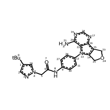 CC(C)(C)c1cnn(CC(=O)Nc2ccc(-n3c4c(c5ncnc(N)c53)COC4)cc2)c1